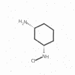 N[C@@H]1CCC[C@H](NCl)C1